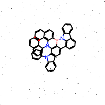 c1ccc2ccc3c(c2c#1)N(c1cccc2c1CCC=C2)c1c2c(cc4c5ccccc5n(-c5ccccc5)c14)-c1cccc4c5ccccc5n(c14)B32